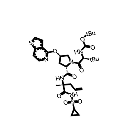 C=CC[C@@](C)(NC(=O)[C@@H]1C[C@@H](Oc2nccc3sccc23)CN1C(=O)[C@@H](NC(=O)OC(C)(C)C)C(C)(C)C)C(=O)NS(=O)(=O)C1CC1